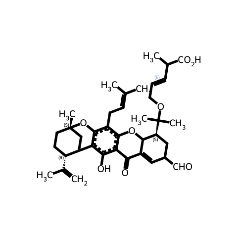 C=C(C)[C@@H]1CC[C@@]2(C)CC1c1c(O)c3c(c(CC=C(C)C)c1O2)OC1C(=CC(C=O)C[C@@H]1C(C)(C)OC/C=C/C(C)C(=O)O)C3=O